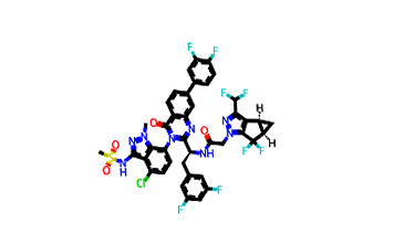 Cn1nc(NS(C)(=O)=O)c2c(Cl)ccc(-n3c([C@H](Cc4cc(F)cc(F)c4)NC(=O)Cn4nc(C(F)F)c5c4C(F)(F)[C@@H]4C[C@H]54)nc4cc(-c5ccc(F)c(F)c5)ccc4c3=O)c21